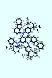 Cc1cc2c(cc1N1c3cc(N4c5ccccc5C5(C)CCCCC45C)cc4c3B(c3cc5c(cc3N4c3cccc4c3oc3ccccc34)C(C)(C)CCC5(C)C)c3ccc4c(sc5ccccc54)c31)C(C)(C)CCC2(C)C